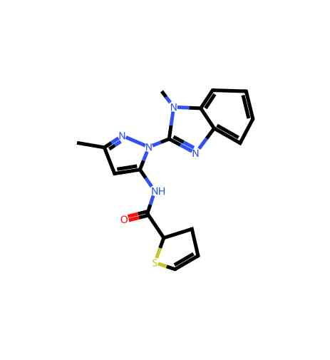 Cc1cc(NC(=O)C2CC=CS2)n(-c2nc3ccccc3n2C)n1